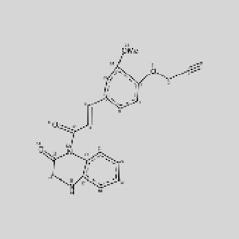 C#CCOc1ccc(/C=C/C(=O)N2C(=O)CNc3ccccc32)cc1OC